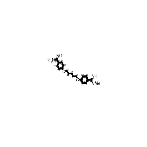 CNC(=N)c1ccc(OCCCCCOc2ccc(C(=N)N)cc2)cc1